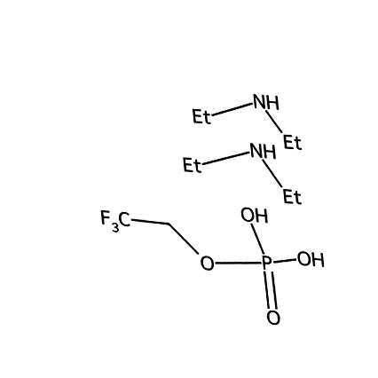 CCNCC.CCNCC.O=P(O)(O)OCC(F)(F)F